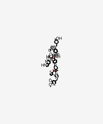 COc1cc(CN2CCN(C3CC4(CCN(c5ccc(C(=O)NS(=O)(=O)c6ccc(NCC7CCC(C)(O)CC7)c([N+](=O)[O-])c6)c(N6c7cc8cc[nH]c8nc7O[C@H]7COCC[C@@H]76)c5)CC4)C3)[C@@H](c3ccsc3C(C)C)C2)cnc1OC